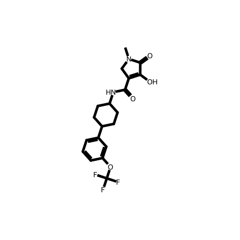 CN1CC(C(=O)NC2CCC(c3cccc(OC(F)(F)F)c3)CC2)=C(O)C1=O